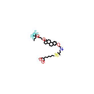 CCCC(OCCCOC1CCC2C3CCc4cc(OCCN(C)CCC(C)(C)SSCCCCCCC(COC)COC)ccc4C3CCC12C)(C(F)(F)F)C(F)(F)F